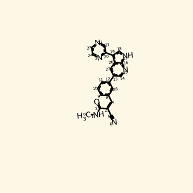 CNC(=O)C(C#N)=Cc1cccc(-c2cnc3[nH]cc(-c4cnccn4)c3c2)c1